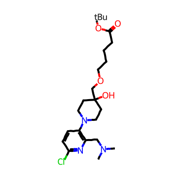 CN(C)Cc1nc(Cl)ccc1N1CCC(O)(COCCCCC(=O)OC(C)(C)C)CC1